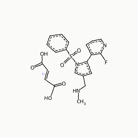 CNCc1cc(-c2cccnc2F)n(S(=O)(=O)c2ccccc2)c1.O=C(O)/C=C/C(=O)O